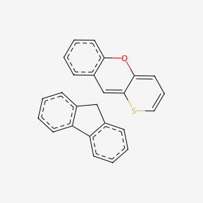 C1=CSC2=Cc3ccccc3OC2=C1.c1ccc2c(c1)Cc1ccccc1-2